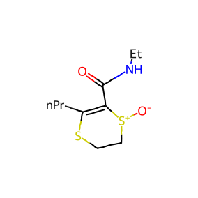 CCCC1=C(C(=O)NCC)[S+]([O-])CCS1